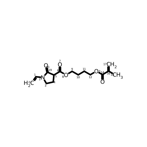 C=CN1CCC(C(=O)OCCCCOC(=O)C(=C)C)C1=O